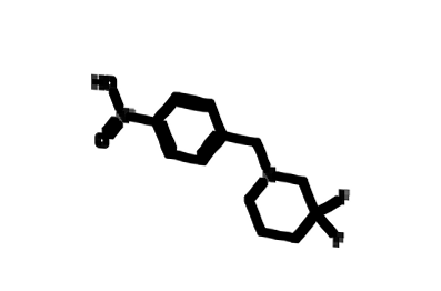 O=[N+](O)c1ccc(CN2CCCC(F)(F)C2)cc1